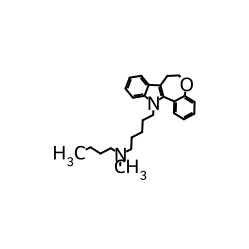 CCCCN(C)CCCCCn1c2c(c3ccccc31)CCOc1ccccc1-2